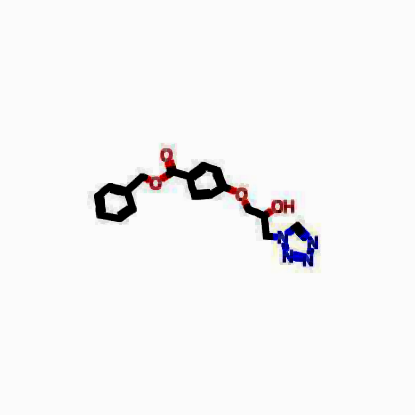 O=C(OCc1ccccc1)c1ccc(OCC(O)Cn2cnnn2)cc1